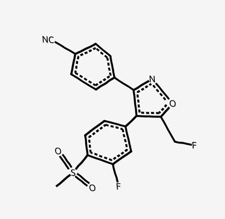 CS(=O)(=O)c1ccc(-c2c(-c3ccc(C#N)cc3)noc2CF)cc1F